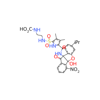 Cc1c(C(=O)NC23C(=O)c4cccc([N+](=O)[O-])c4C2(O)Oc2cc(C(C)C)ccc23)[nH]c(S(=O)(=O)NCCNC(=O)O)c1C